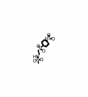 CS(=O)(=O)NCCS(=O)(=O)c1ccc([SH](=O)=O)cc1